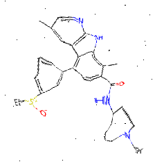 CC[S+]([O-])c1cccc(-c2cc(C(=O)NC3CCN(C(C)C)CC3)c(C)c3[nH]c4ncc(C)cc4c23)c1